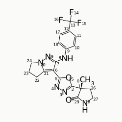 C[C@@]1(c2nnc(-c3c(Nc4ccc(C(F)(F)F)cc4)nn4c3CCC4)o2)CCNC1=O